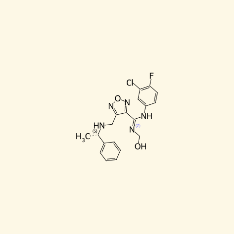 C[C@H](NCc1nonc1/C(=N/CO)Nc1ccc(F)c(Cl)c1)c1ccccc1